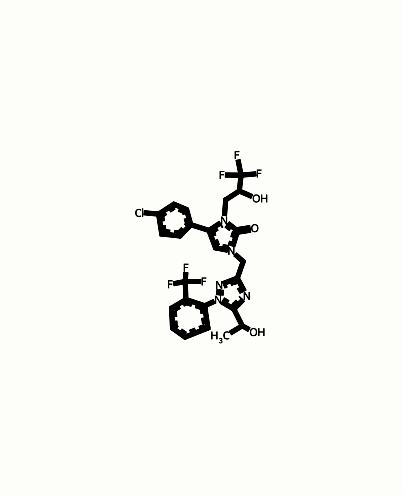 CC(O)c1nc(Cn2cc(-c3ccc(Cl)cc3)n(CC(O)C(F)(F)F)c2=O)nn1-c1ccccc1C(F)(F)F